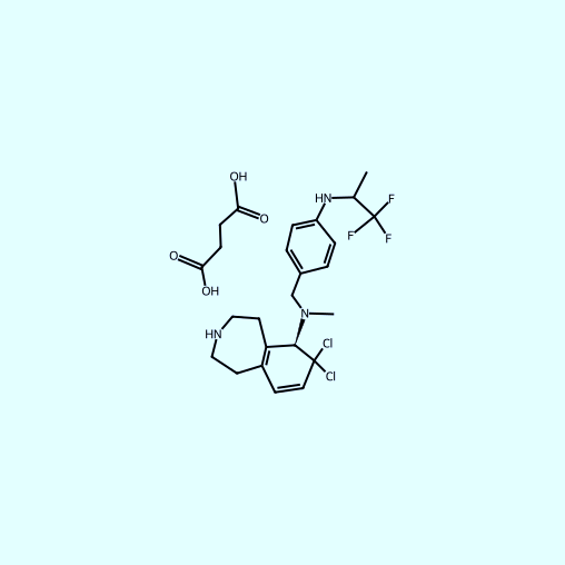 CC(Nc1ccc(CN(C)[C@@H]2C3=C(C=CC2(Cl)Cl)CCNCC3)cc1)C(F)(F)F.O=C(O)CCC(=O)O